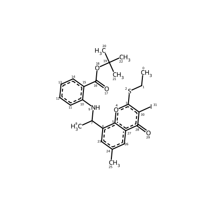 CCSc1oc2c(C(C)Nc3ccccc3C(=O)OC(C)(C)C)cc(C)cc2c(=O)c1I